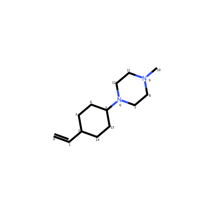 C=CC1CCC(N2CCN(C)CC2)CC1